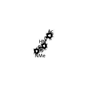 CNc1cccc(S(=O)(=O)c2cccc(NCOc3cccc(C(C)=O)c3)c2)c1